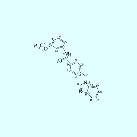 COc1cccc(NC(=O)c2ccc(Cn3cnc4ccccc43)cc2)c1